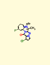 CCCN[C@@H](C)c1nn2ccc(Cl)c2c(=O)n1C1=CC(F)=CCC=C1